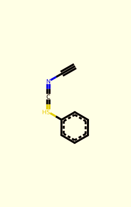 C#CN=C=[SH]c1ccccc1